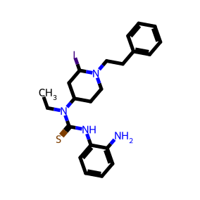 CCN(C(=S)Nc1ccccc1N)C1CCN(CCc2ccccc2)C(I)C1